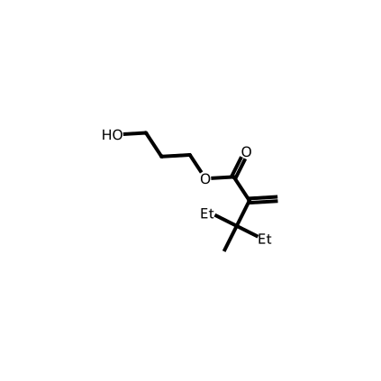 C=C(C(=O)OCCCO)C(C)(CC)CC